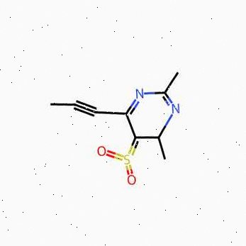 CC#CC1=NC(C)=NC(C)C1=S(=O)=O